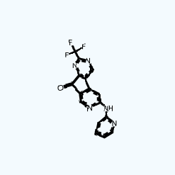 O=C1c2cnc(Nc3ccccn3)cc2-c2cnc(C(F)(F)F)nc21